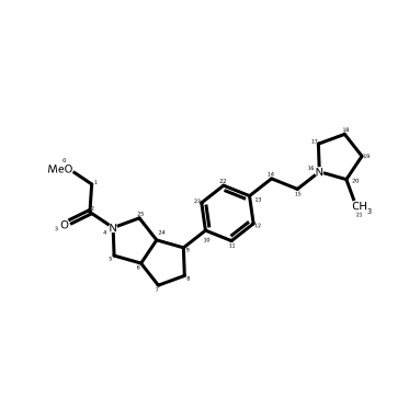 COCC(=O)N1CC2CCC(c3ccc(CCN4CCCC4C)cc3)C2C1